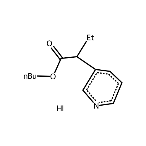 CCCCOC(=O)C(CC)c1cccnc1.I